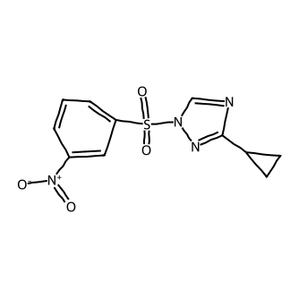 O=[N+]([O-])c1cccc(S(=O)(=O)n2cnc(C3CC3)n2)c1